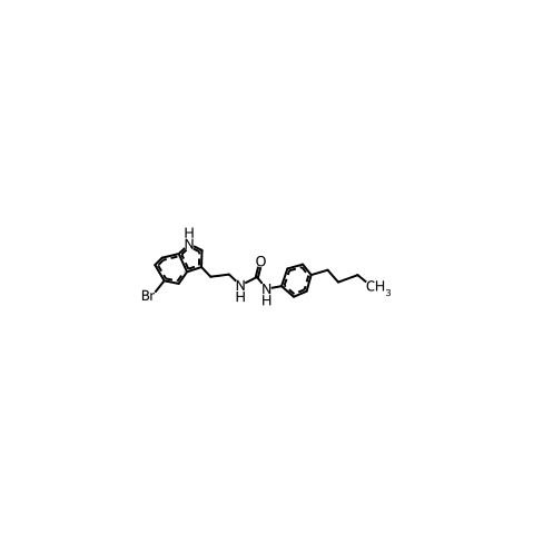 CCCCc1ccc(NC(=O)NCCc2c[nH]c3ccc(Br)cc23)cc1